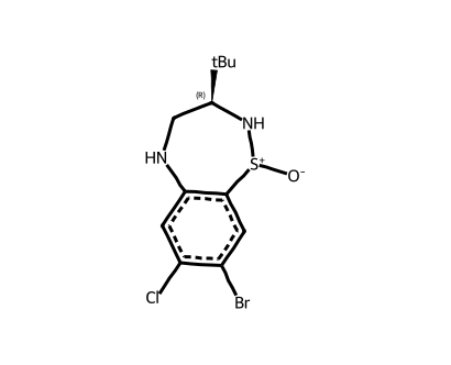 CC(C)(C)[C@@H]1CNc2cc(Cl)c(Br)cc2[S+]([O-])N1